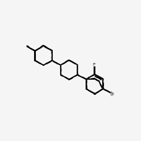 CC1CCC(C2CCC(C34CCC(Br)(C=C3F)CC4)CC2)CC1